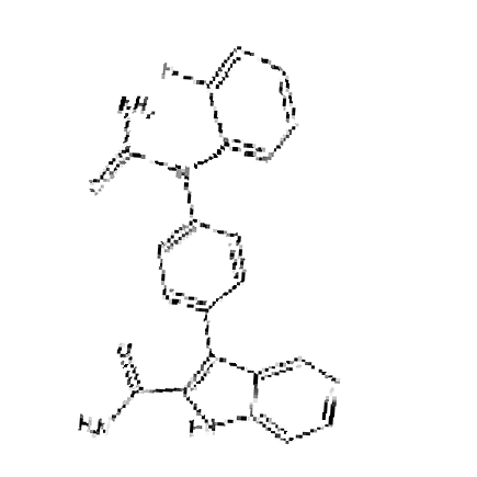 NC(=O)c1[nH]c2ccccc2c1-c1ccc(N(C(N)=O)c2ccccc2F)cc1